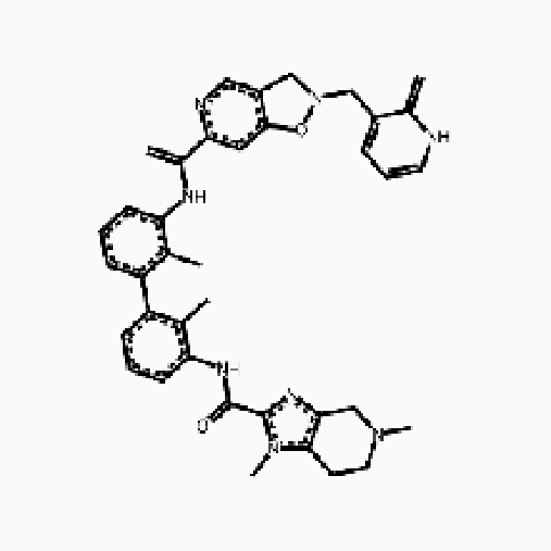 C=C1NC=CC=C1CN1Cc2cnc(C(=C)Nc3cccc(-c4cccc(NC(=O)c5nc6c(n5C)CCN(C)C6)c4C)c3C)cc2O1